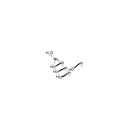 CC(C)O.CC(C)O.CC(C)O.CC(C)O.N.O